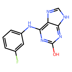 Oc1nc(Nc2cccc(F)c2)c2nc[nH]c2n1